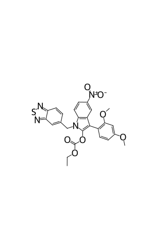 CCOC(=O)Oc1c(-c2ccc(OC)cc2OC)c2cc([N+](=O)[O-])ccc2n1Cc1ccc2nsnc2c1